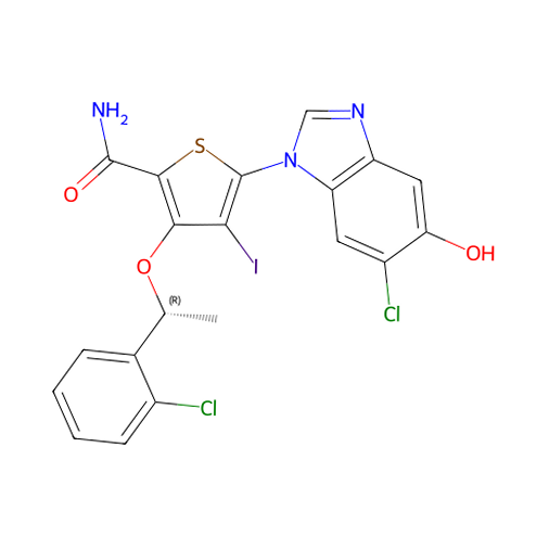 C[C@@H](Oc1c(C(N)=O)sc(-n2cnc3cc(O)c(Cl)cc32)c1I)c1ccccc1Cl